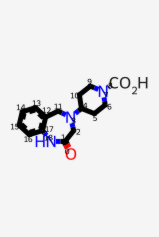 O=C1CN(C2CCN(C(=O)O)CC2)Cc2ccccc2N1